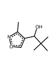 Cc1nocc1C(O)C(C)(C)C